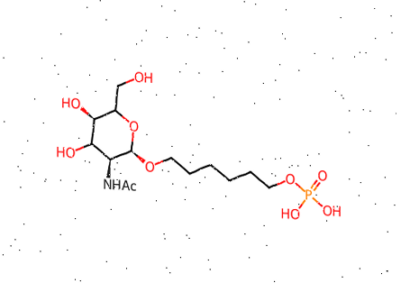 CC(=O)N[C@H]1C(O)[C@@H](O)C(CO)O[C@H]1OCCCCCCOP(=O)(O)O